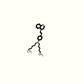 CCCCCCN(CCCCCC)c1ccc(C=Cc2ccnc3ccccc23)cc1